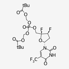 CC(C)(C)C(=O)OCOP(=O)(OCOC(=O)C(C)(C)C)OC[C@@]1(F)O[C@@H](n2cc(C(F)(F)F)c(=O)[nH]c2=O)C[C@@H]1F